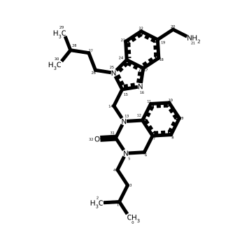 CC(C)CCN1Cc2ccccc2N(Cc2nc3cc(CN)ccc3n2CCC(C)C)C1=O